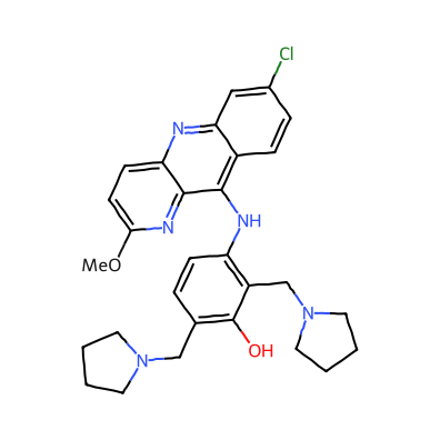 COc1ccc2nc3cc(Cl)ccc3c(Nc3ccc(CN4CCCC4)c(O)c3CN3CCCC3)c2n1